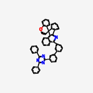 c1ccc(-c2nc(-c3ccccc3)nc(-c3cccc(-c4cccc(-c5nc6c(c7ccccc57)C5(c7ccccc7Oc7ccccc75)c5ccccc5-6)c4)c3)n2)cc1